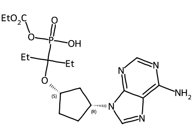 CCOC(=O)OP(=O)(O)C(CC)(CC)O[C@H]1CC[C@@H](n2cnc3c(N)ncnc32)C1